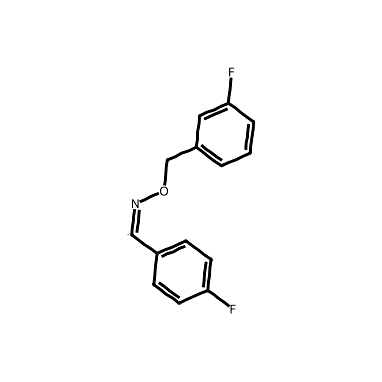 Fc1ccc(/[C]=N\OCc2cccc(F)c2)cc1